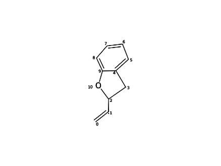 C=[C]C1Cc2ccccc2O1